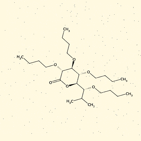 CCCCO[C@@H]1[C@@H]([C@H](OCCCC)C(C)C)OC(=O)[C@H](OCCCC)[C@H]1OCCCC